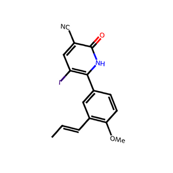 CC=Cc1cc(-c2[nH]c(=O)c(C#N)cc2I)ccc1OC